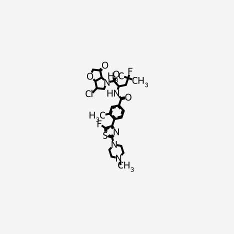 Cc1cc(C(=O)NC(CC(C)(C)F)C(=O)N2CC(Cl)C3OCC(=O)C32)ccc1-c1nc(N2CCN(C)CC2)sc1F